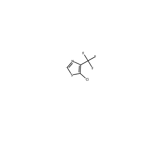 FC(F)(F)c1n[c]sc1Cl